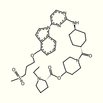 CCN1CCC[C@H]1C(=O)OC1CCN(C(=O)[C@H]2CC[C@H](Nc3nccc(-n4ccc5c(OCCCS(C)(=O)=O)cccc54)n3)CC2)CC1